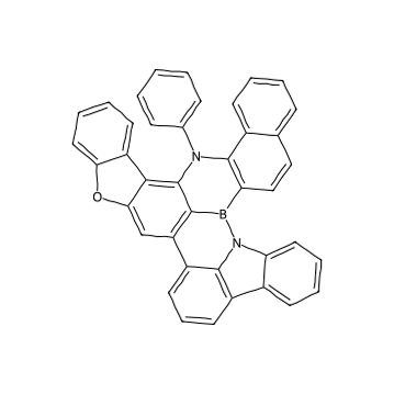 c1ccc(N2c3c(ccc4ccccc34)B3c4c(cc5oc6ccccc6c5c42)-c2cccc4c5ccccc5n3c24)cc1